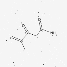 C=C(C)C(=O)CC(N)=O